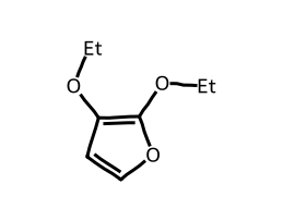 CCOc1ccoc1OCC